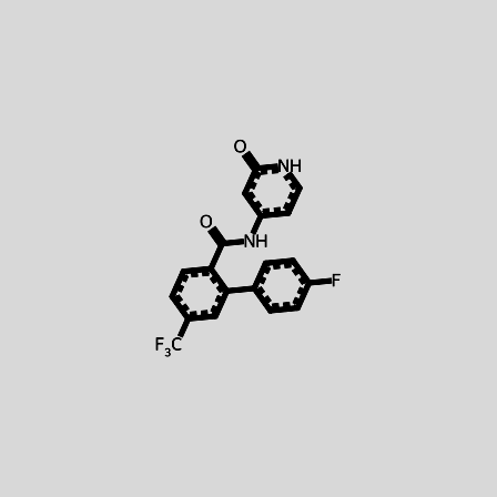 O=C(Nc1cc[nH]c(=O)c1)c1ccc(C(F)(F)F)cc1-c1ccc(F)cc1